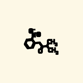 CC(C)C(=O)Cc1ccccc1[N+](=O)[O-]